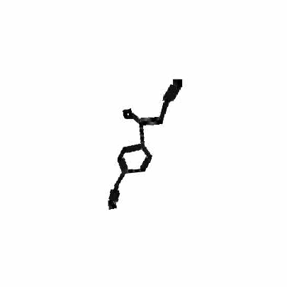 N#C/C=C(\Cl)c1ccc(C#N)cc1